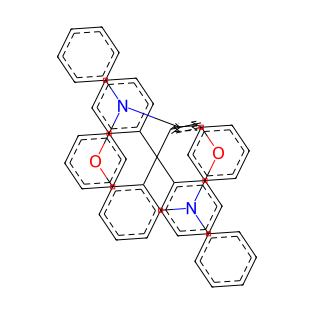 c1ccc(N(c2ccccc2)c2cccc3c2C2(c4ccccc4O3)c3ccccc3Oc3cccc(N(c4ccccc4)c4ccccc4)c32)cc1